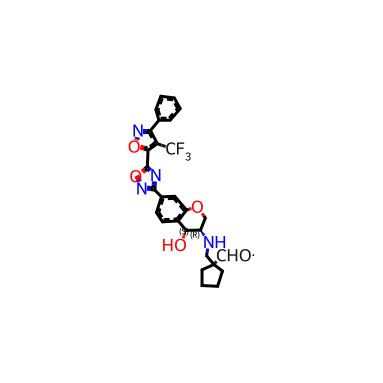 O=[C]C1(CN[C@@H]2COc3cc(-c4noc(-c5onc(-c6ccccc6)c5C(F)(F)F)n4)ccc3[C@@H]2O)CCCC1